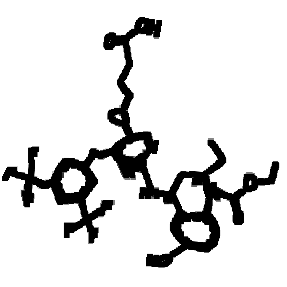 CCOC(=O)N1c2ccc(O)cc2[C@@H](Nc2ncc(OCCCC(=O)O)c(Cc3cc(C(F)(F)F)cc(C(F)(F)F)c3)n2)C[C@H]1CC